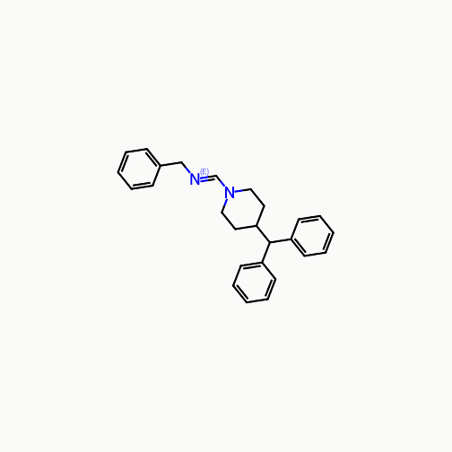 C(=N\Cc1ccccc1)/N1CCC(C(c2ccccc2)c2ccccc2)CC1